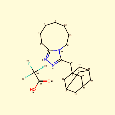 C1CCCc2nnc(CC34CC5CC(CC(C5)C3)C4)n2CCC1.O=C(O)C(F)(F)F